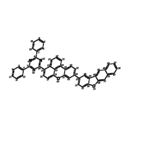 c1ccc(-c2nc(-c3ccccc3)nc(-c3ccc4c5c(cccc35)-c3ccc(-c5ccc6oc7cc8ccccc8cc7c6c5)cc3O4)n2)cc1